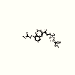 COC(=O)COc1cccc2c1OCCC(C(=O)CCS(=O)(=O)ONC(=N)N)=C2